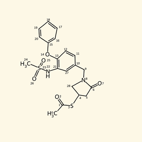 CC(=O)SC1CC(=O)N(Cc2ccc(Oc3ccccc3)c(NS(C)(=O)=O)c2)C1